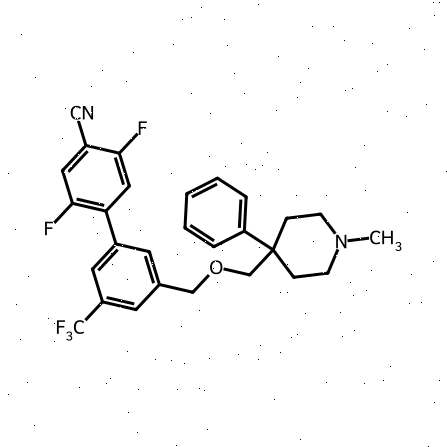 CN1CCC(COCc2cc(-c3cc(F)c(C#N)cc3F)cc(C(F)(F)F)c2)(c2ccccc2)CC1